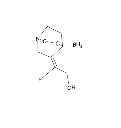 B.OCC(F)=C1CN2CCC1CC2